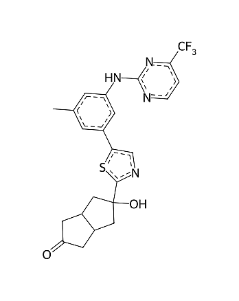 Cc1cc(Nc2nccc(C(F)(F)F)n2)cc(-c2cnc(C3(O)CC4CC(=O)CC4C3)s2)c1